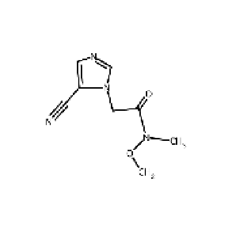 CON(C)C(=O)Cn1cncc1C#N